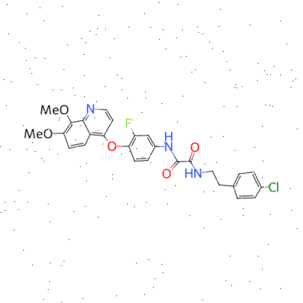 COc1ccc2c(Oc3ccc(NC(=O)C(=O)NCCc4ccc(Cl)cc4)cc3F)ccnc2c1OC